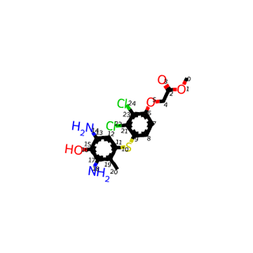 COC(=O)COc1ccc(Sc2cc(N)c(O)c(N)c2C)c(Cl)c1Cl